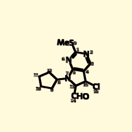 CSc1ncc2c(n1)N(C1CCCC1)C(C=O)C2Cl